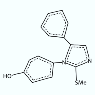 CSc1ncc(-c2ccccc2)n1-c1ccc(O)cc1